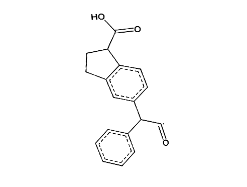 O=[C]C(c1ccccc1)c1ccc2c(c1)CCC2C(=O)O